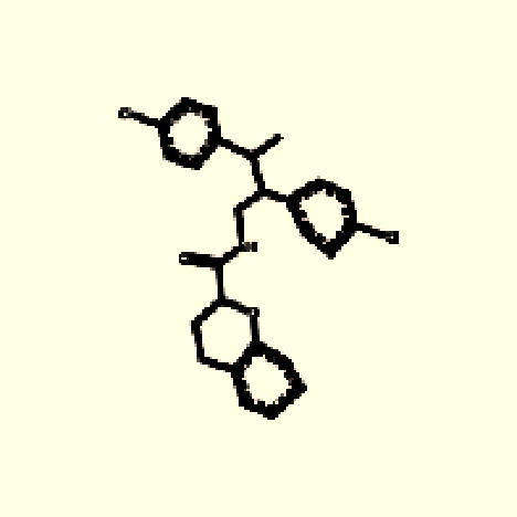 CC(c1ccc(Cl)cc1)C(CNC(=O)C1CCc2ccccc2O1)c1ccc(Cl)cc1